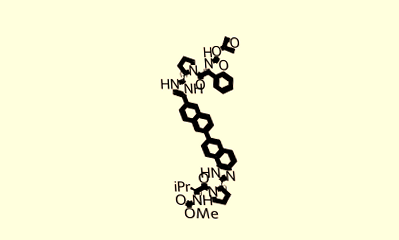 COC(=O)N[C@H](C(=O)N1CCC[C@H]1c1nc2ccc3cc(-c4ccc5cc(C6=CNC([C@@H]7CCCN7C(=O)[C@H](NC(=O)OC7COC7)c7ccccc7)N6)ccc5c4)ccc3c2[nH]1)C(C)C